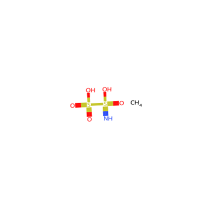 C.N=S(=O)(O)S(=O)(=O)O